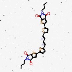 CCCCN1C(=O)c2cc(-c3ccc(/C=C/C=C/c4ccc(-c5cc6c(s5)C(=O)N(CCCC)C6=O)s4)s3)sc2C1=O